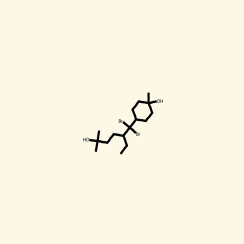 CCC(CCC(C)(C)O)C(Br)(Br)C1CCC(C)(O)CC1